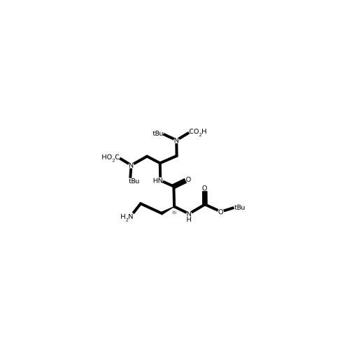 CC(C)(C)OC(=O)N[C@@H](CCN)C(=O)NC(CN(C(=O)O)C(C)(C)C)CN(C(=O)O)C(C)(C)C